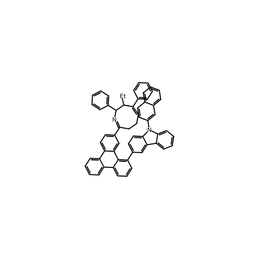 CCC1/C(c2ccccc2)=C\CC/C(c2ccc3c4ccccc4c4cccc(-c5ccc6c(c5)c5ccccc5n6-c5ccc6ccccc6c5)c4c3c2)=N\C1c1ccccc1